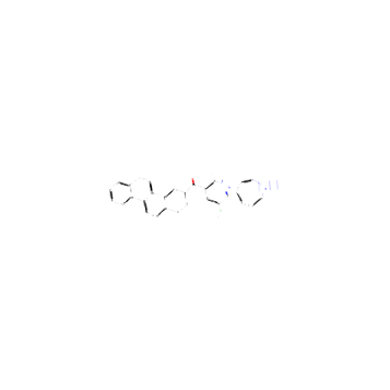 C1=CC=CNC=C1.O=C(c1cc(Cl)cnc1Cl)C1C=c2c(ccc3c2=CCc2ccccc2-3)CC1